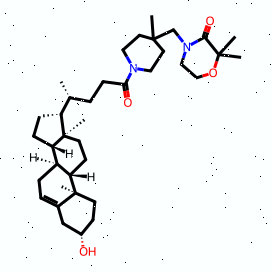 C[C@H](CCC(=O)N1CCC(C)(CN2CCOC(C)(C)C2=O)CC1)[C@H]1CC[C@H]2[C@@H]3CC=C4C[C@@H](O)CC[C@]4(C)[C@H]3CC[C@]12C